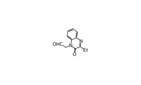 CCc1nc2ccccc2n(CC=O)c1=O